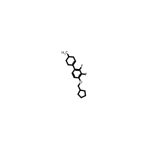 CC1CC=C(c2ccc(OCC3CCCC3)c(F)c2F)CC1